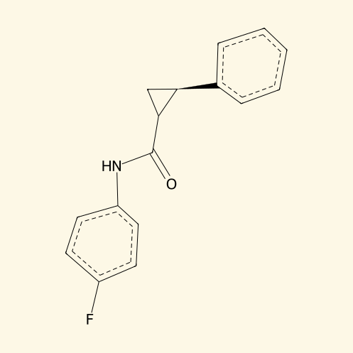 O=C(Nc1ccc(F)cc1)C1C[C@H]1c1ccccc1